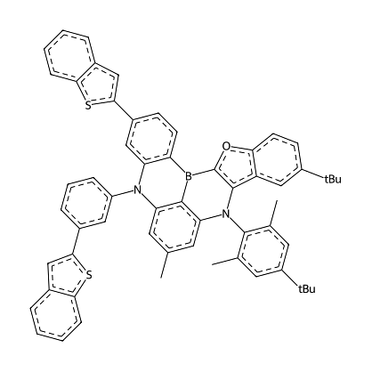 Cc1cc2c3c(c1)N(c1c(C)cc(C(C)(C)C)cc1C)c1c(oc4ccc(C(C)(C)C)cc14)B3c1ccc(-c3cc4ccccc4s3)cc1N2c1cccc(-c2cc3ccccc3s2)c1